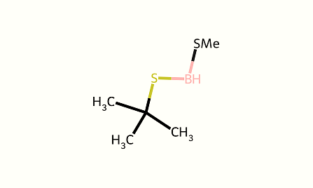 CSBSC(C)(C)C